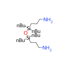 CCCC[Si](CCCC)(CCCN)O[Si](CCCC)(CCCC)CCCN